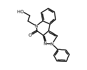 O=c1c2nn(-c3ccccc3)cc2c2ccccc2n1CCO